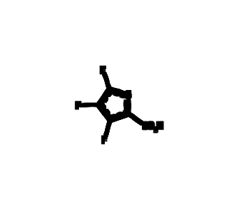 O=S(=O)(O)c1sc(F)c(F)c1F